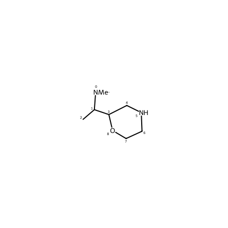 C[N]C(C)C1CNCCO1